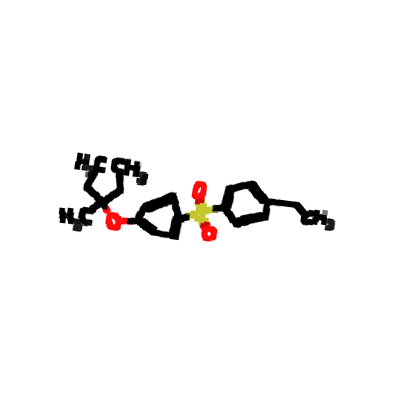 CCc1ccc(S(=O)(=O)c2ccc(OC(C)(CC)CC)cc2)cc1